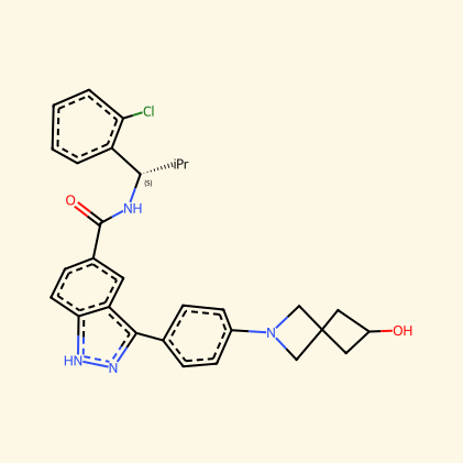 CC(C)[C@H](NC(=O)c1ccc2[nH]nc(-c3ccc(N4CC5(CC(O)C5)C4)cc3)c2c1)c1ccccc1Cl